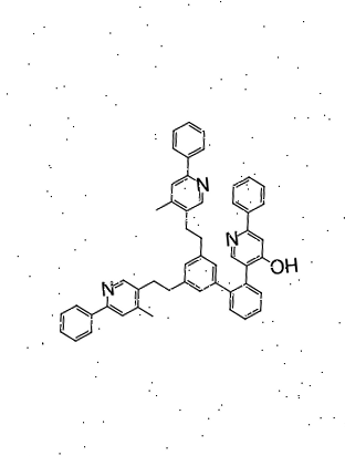 Cc1cc(-c2ccccc2)ncc1CCc1cc(CCc2cnc(-c3ccccc3)cc2C)cc(-c2ccccc2-c2cnc(-c3ccccc3)cc2O)c1